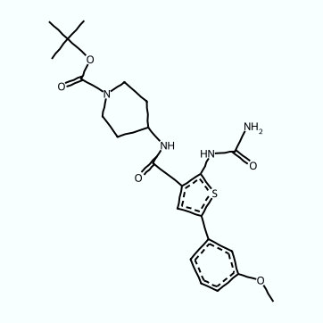 COc1cccc(-c2cc(C(=O)NC3CCN(C(=O)OC(C)(C)C)CC3)c(NC(N)=O)s2)c1